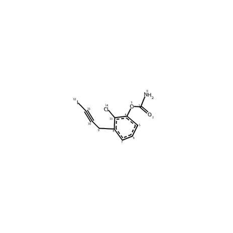 NC(=O)Oc1cccc(CC#CI)c1Cl